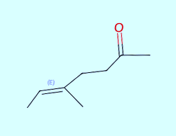 C/C=C(\C)CCC(C)=O